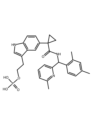 Cc1ccc(C(NC(=O)C2(c3ccc4[nH]cc(CCOP(=O)(O)O)c4c3)CC2)c2cccc(C)n2)c(C)c1